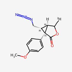 [2H]C1OC(=O)[C@@]2(c3ccc(OC)cc3)[C@H](CN=[N+]=[N-])[C@@H]12